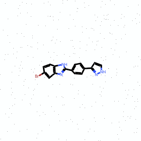 Brc1ccc2[nH]c(-c3ccc(-c4cc[nH]n4)cc3)nc2c1